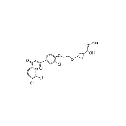 CC(C)(C)OC(O)C1CC(OCCOc2ccc(-c3cc(=O)c4ccc(Br)c(Cl)c4o3)cc2Cl)C1